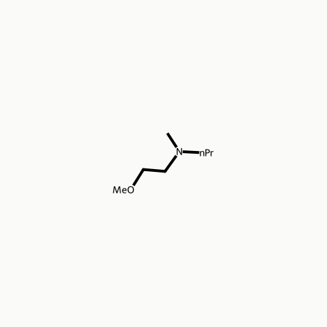 [CH2]CCN(C)CCOC